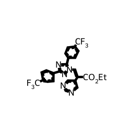 CCOC(=O)/C(=C/n1nc(-c2ccc(C(F)(F)F)cc2)nc1-c1ccc(C(F)(F)F)cc1)c1cncnc1